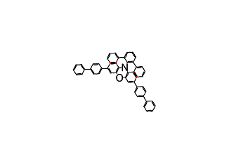 c1ccc(-c2ccc(-c3ccc4c(c3)Oc3cc(-c5ccc(-c6ccccc6)cc5)ccc3N4c3c(-c4ccccc4)cccc3-c3ccccc3)cc2)cc1